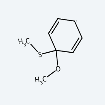 COC1(SC)C=C[CH]C=C1